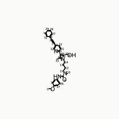 COc1ccc(NC(=O)N(C)CCCCN2[C@H](CO)[C@H](c3ccc(C#Cc4ccccc4)cn3)[C@@H]2C)cc1